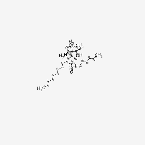 CCCCCCCCCCC[C@@H](C[C@@H]1OC(=O)[C@H]1CCCCCC)[C@@](C(N)=O)(C(=O)O)C(C)C